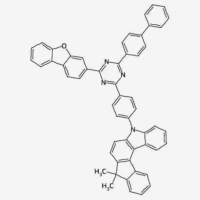 CC1(C)c2ccccc2-c2c1ccc1c2c2ccccc2n1-c1ccc(-c2nc(-c3ccc(-c4ccccc4)cc3)nc(-c3ccc4c(c3)oc3ccccc34)n2)cc1